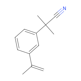 C=C(C)c1cccc(C(C)(C)C#N)c1